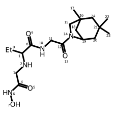 CCC(NCC(=O)NO)C(=O)NCC(=O)N1CC2(C)CC1CC(C)(C)C2